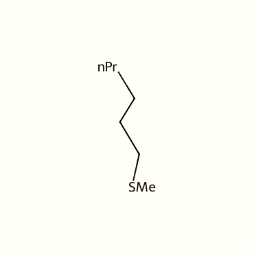 CCCCCC[SH2]C